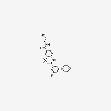 CC1(C)CC(c2cc(F)cc(N3CCOCC3)c2)Nc2ccc(C(=O)NCCO)cc21